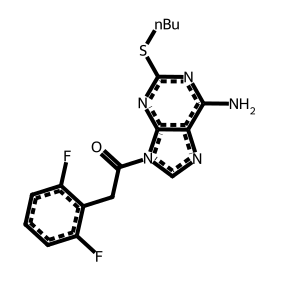 CCCCSc1nc(N)c2ncn(C(=O)Cc3c(F)cccc3F)c2n1